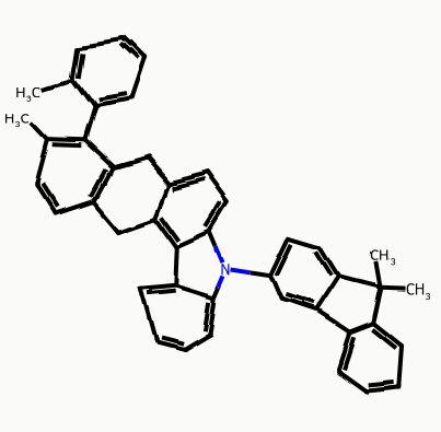 Cc1ccccc1-c1c(C)ccc2c1Cc1ccc3c(c1C2)c1ccccc1n3-c1ccc2c(c1)-c1ccccc1C2(C)C